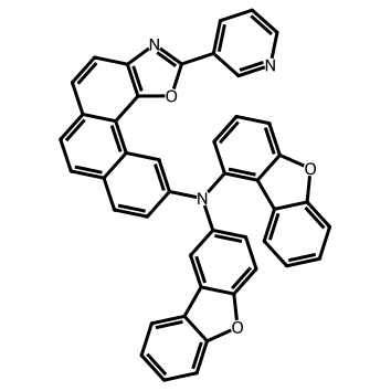 c1cncc(-c2nc3ccc4ccc5ccc(N(c6ccc7oc8ccccc8c7c6)c6cccc7oc8ccccc8c67)cc5c4c3o2)c1